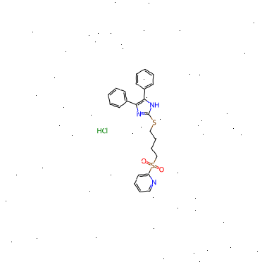 Cl.O=S(=O)(CCCCSc1nc(-c2ccccc2)c(-c2ccccc2)[nH]1)c1ccccn1